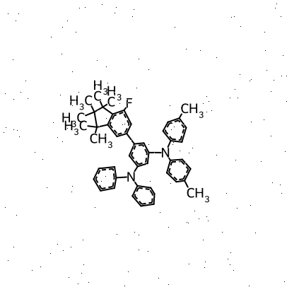 Cc1ccc(N(c2ccc(C)cc2)c2cc(-c3cc(F)c4c(c3)C(C)(C)C(C)(C)C4(C)C)cc(N(c3ccccc3)c3ccccc3)c2)cc1